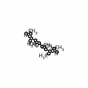 Cc1ccc2c(c1)c(-c1ccc3c(c1)C(C)(C)c1cc(-c4ccc5c(c4)C(C)(C)c4cc(-c6cc7c8ccc(C)c9c8c(cc7c7ccc(C)cc67)-c6ncccc6-9)ccc4-5)ccc1-3)cc1c3ccc(C)c4c3c(cc21)-c1ncccc1-4